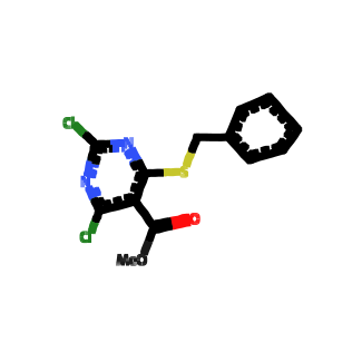 COC(=O)c1c(Cl)nc(Cl)nc1SCc1ccccc1